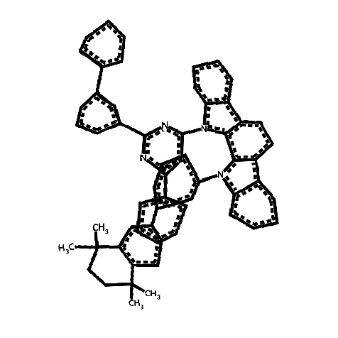 CC1(C)CCC(C)(C)c2cc(-c3cccc(-n4c5ccccc5c5ccc6c7ccccc7n(-c7nc(-c8ccccc8)nc(-c8cccc(-c9ccccc9)c8)n7)c6c54)c3)ccc21